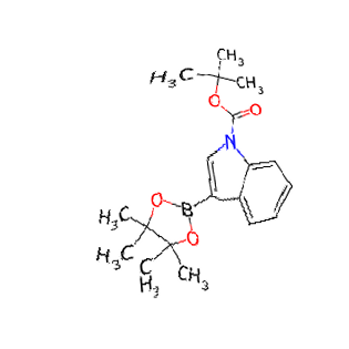 CC(C)(C)OC(=O)n1cc(B2OC(C)(C)C(C)(C)O2)c2ccccc21